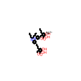 CCCCC(=Nc1ccccc1)C(CCCC)=Nc1ccccc1.CCCCc1cc(O)c(O)c(C(=O)[O-])c1CC.CCCCc1cc(O)c(O)c(C(=O)[O-])c1CC.[Ni+2]